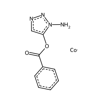 Nn1nncc1OC(=O)c1ccccc1.[Co]